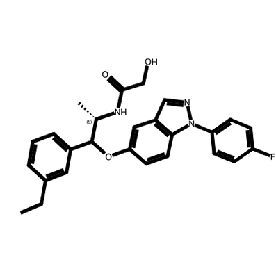 CCc1cccc(C(Oc2ccc3c(cnn3-c3ccc(F)cc3)c2)[C@H](C)NC(=O)CO)c1